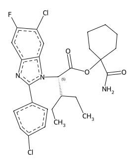 CCC(CC)[C@@H](C(=O)OC1(C(N)=O)CCCCC1)n1c(-c2ccc(Cl)cc2)nc2cc(F)c(Cl)cc21